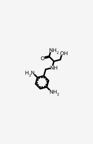 NC(=O)C(CO)NCc1cc(N)ccc1N